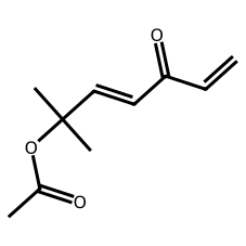 C=CC(=O)C=CC(C)(C)OC(C)=O